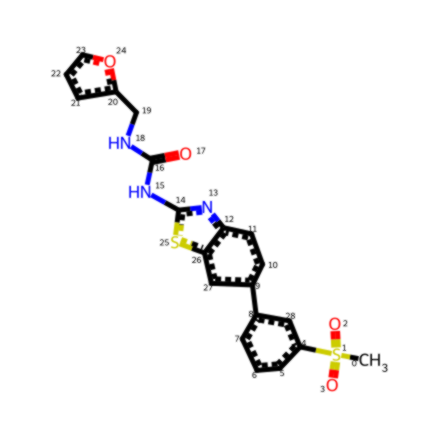 CS(=O)(=O)c1cccc(-c2ccc3nc(NC(=O)NCc4ccco4)sc3c2)c1